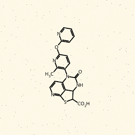 Cc1nc(Oc2ccccn2)ccc1N1C(=O)NC2c3c1ccnc3SC2C(=O)O